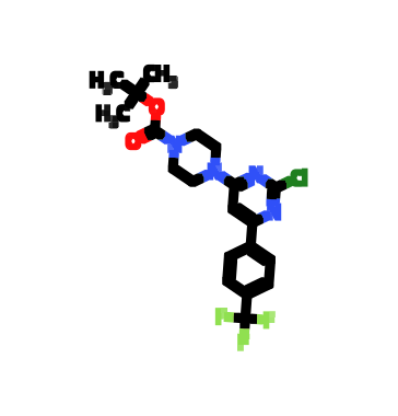 CC(C)(C)OC(=O)N1CCN(c2cc(-c3ccc(C(F)(F)F)cc3)nc(Cl)n2)CC1